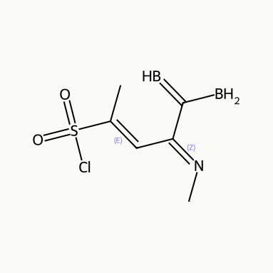 B=C(B)C(/C=C(\C)S(=O)(=O)Cl)=N/C